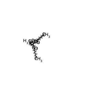 CCCCCC=CC(=O)OCc1cnc(C)c(O)c1COC(=O)C=CCCCCC